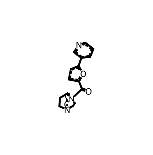 O=C(c1ccc(-c2cccnc2)o1)N1CCN2CCC1CC2